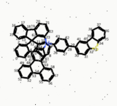 c1ccc2c(c1)-c1ccccc1C21c2ccccc2-c2cccc(N(c3ccc(-c4ccc5sc6ccccc6c5c4)cc3)c3ccc4c5ccccc5c5ccccc5c4c3)c21